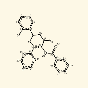 Cc1ccccc1C(CNc1ncccn1)CC(C)COC(=O)c1ccccc1